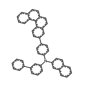 c1ccc(-c2cccc(N(c3ccc(-c4ccc5c(ccc6ccc7ccccc7c65)c4)cc3)c3ccc4ccccc4c3)c2)cc1